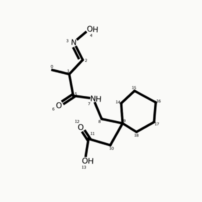 CC(C=NO)C(=O)NCC1(CC(=O)O)CCCCC1